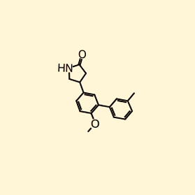 COc1ccc(C2CNC(=O)C2)cc1-c1cccc(C)c1